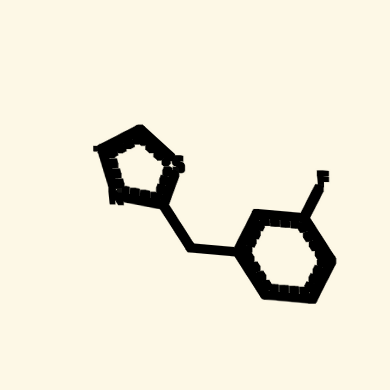 Fc1cccc(Cc2n[c]cs2)c1